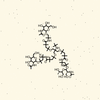 CC(=O)NC1C(OCC(C)(C)NC(=O)C(C)(C)CC(C)(C)OCC(COC(C)(C)CC(C)(C)C(=O)NC(C)(N)CC(C)(C)OC2OC(CO)C(O)C(O)C2NC(C)=O)(COC(C)(C)CC(C)(C)C(=O)NC(C)(N)CC(C)(C)OC(OC(CO)[C@@H](C)O)[C@H](CO)NC(C)=O)NC(C)(C)C)OC(CO)C(O)C1O